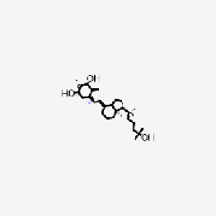 C=C1/C(=C\C=C2CCC[C@@]3(C)C2CC[C@@H]3[C@H](C)CCCC(C)(C)O)C[C@@H](O)[C@H](C)[C@@H]1O